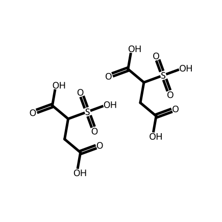 O=C(O)CC(C(=O)O)S(=O)(=O)O.O=C(O)CC(C(=O)O)S(=O)(=O)O